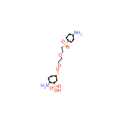 Nc1ccc(S(=O)(=O)CCOCCOOSc2ccc(N)c(S(=O)(=O)O)c2)cc1